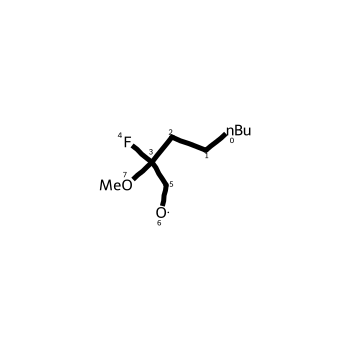 CCCCCCC(F)(C[O])OC